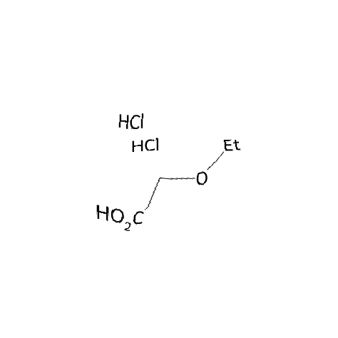 CCOCC(=O)O.Cl.Cl